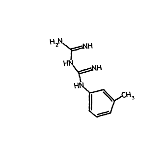 Cc1cccc(NC(=N)NC(=N)N)c1